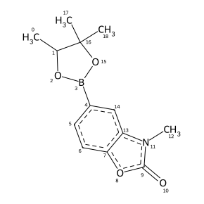 CC1OB(c2ccc3oc(=O)n(C)c3c2)OC1(C)C